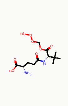 CC(C)(C)[C@H](NC(=O)CC[C@H](N)C(=O)O)C(=O)OCOOO